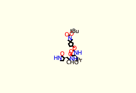 CC(C)C[C@H](NC(=O)OC1CCC2(C1)CN(C(=O)OC(C)(C)C)C2)C(=O)N[C@H](C=O)C[C@H]1CCNC1=O